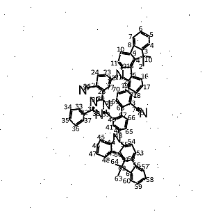 CC1(C)c2ccccc2-c2ccc3c(c21)c1ccccc1n3-c1ccc(C#N)c(-c2nc(-c3ccccc3)nc(-c3cc(-n4c5ccccc5c5c6c(ccc54)-c4ccccc4C6(C)C)ccc3-c3ccccc3C#N)n2)c1